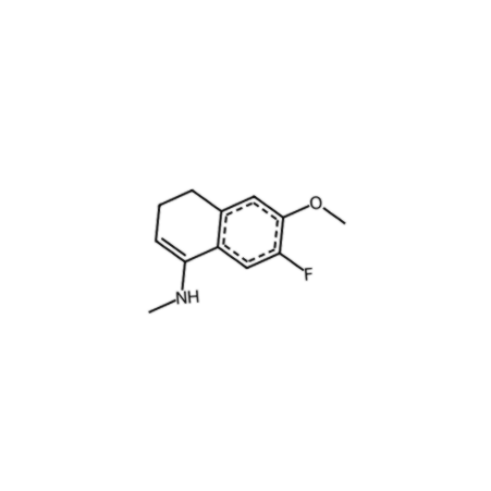 CNC1=CCCc2cc(OC)c(F)cc21